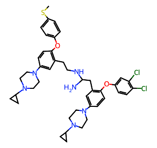 CSc1ccc(Oc2ccc(N3CCN(C4CC4)CC3)cc2CCNC(N)Cc2cc(N3CCN(C4CC4)CC3)ccc2Oc2ccc(Cl)c(Cl)c2)cc1